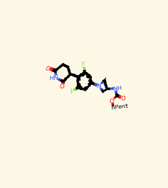 CCCCCOC(=O)NC1CN(c2cc(F)c(C3CCC(=O)NC3=O)c(F)c2)C1